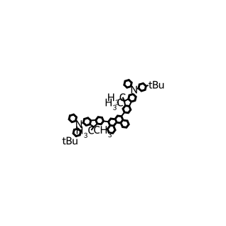 CC(C)(C)c1ccc(N(c2ccccc2)c2ccc3c(c2)C(C)(C)c2cc(-c4cc5cc(-c6ccc7c(c6)C(C)(C)c6cc(N(c8ccccc8)c8ccc(C(C)(C)C)cc8)ccc6-7)c6ccccc6c5c5ccccc45)ccc2-3)cc1